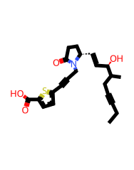 CCC#CCC(C)[C@@H](O)C=C[C@H]1CCC(=O)N1CC#Cc1ccc(C(=O)O)s1